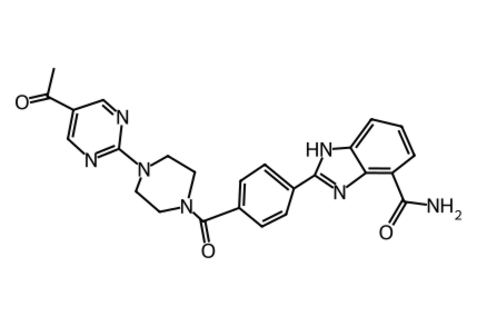 CC(=O)c1cnc(N2CCN(C(=O)c3ccc(-c4nc5c(C(N)=O)cccc5[nH]4)cc3)CC2)nc1